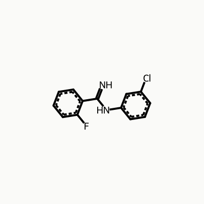 N=C(Nc1cccc(Cl)c1)c1ccccc1F